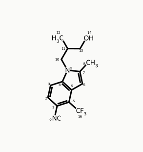 [C-]#[N+]c1ccc2c(cc(C)n2CC(C)CO)c1C(F)(F)F